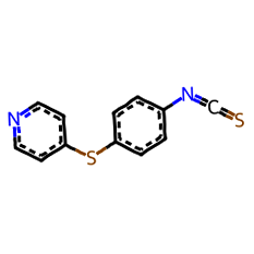 S=C=Nc1ccc(Sc2ccncc2)cc1